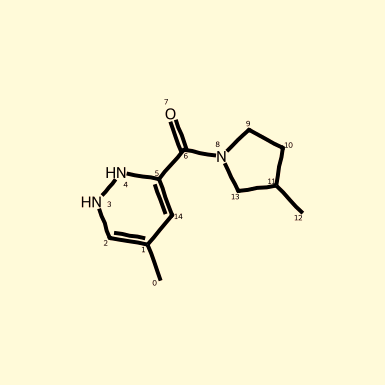 CC1=CNNC(C(=O)N2CCC(C)C2)=C1